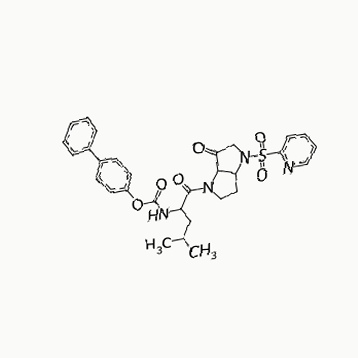 CC(C)CC(NC(=O)Oc1ccc(-c2ccccc2)cc1)C(=O)N1CCC2C1C(=O)CN2S(=O)(=O)c1ccccn1